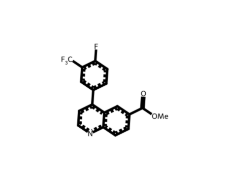 COC(=O)c1ccc2nccc(-c3ccc(F)c(C(F)(F)F)c3)c2c1